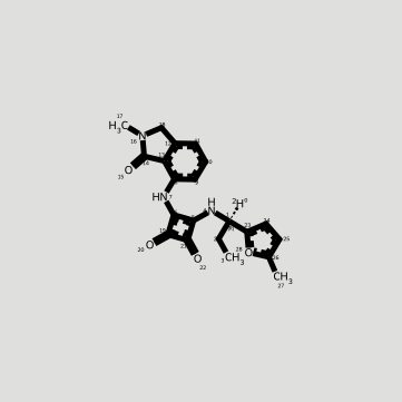 [2H][C@](CC)(Nc1c(Nc2cccc3c2C(=O)N(C)C3)c(=O)c1=O)c1ccc(C)o1